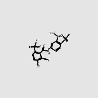 CC1(C)OB(O)c2cc(NC(=O)c3c(C(F)(F)F)ccc(Cl)c3F)ccc21